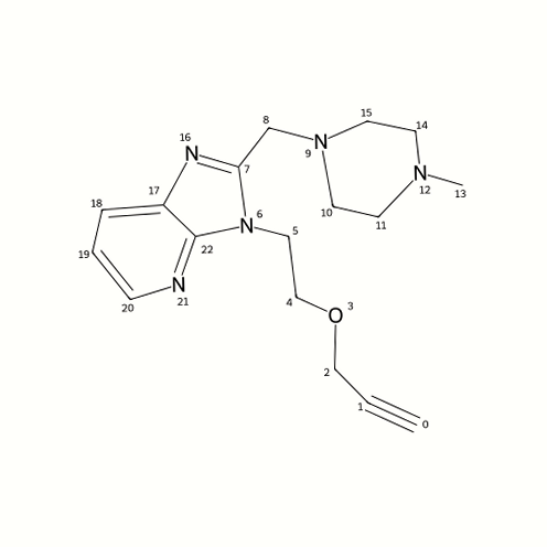 C#CCOCCn1c(CN2CCN(C)CC2)nc2cccnc21